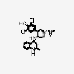 CC1=[C]C(N[C@@H]2CC[C@@H](CN(C)C)CC2c2cc(Cl)c(O)c(Cl)c2)c2ccccc2N1